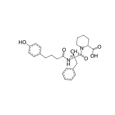 C[C@@](Cc1ccccc1)(NC(=O)CCCc1ccc(O)cc1)C(=O)N1CCCCC1C(=O)O